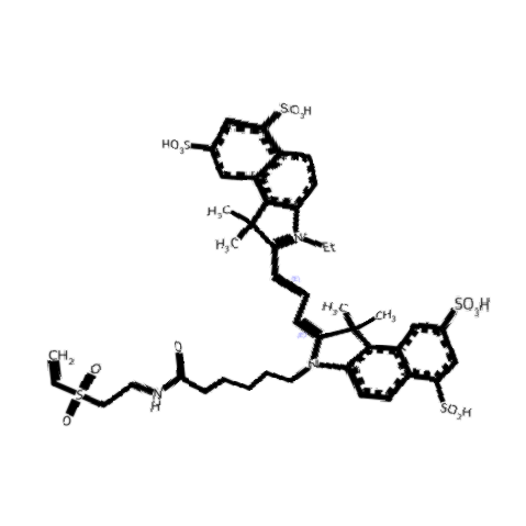 C=CS(=O)(=O)CCNC(=O)CCCCCN1/C(=C/C=C/C2=[N+](CC)c3ccc4c(S(=O)(=O)O)cc(S(=O)(=O)O)cc4c3C2(C)C)C(C)(C)c2c1ccc1c(S(=O)(=O)O)cc(S(=O)(=O)O)cc21